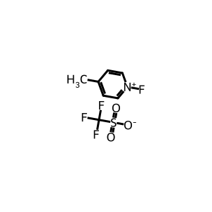 Cc1cc[n+](F)cc1.O=S(=O)([O-])C(F)(F)F